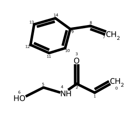 C=CC(=O)NCO.C=Cc1ccccc1